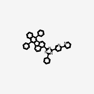 c1ccc(-c2nc(-c3ccc(-c4ccccn4)nc3)nc(-c3ccc4c5c(cccc35)-c3c-4c(-c4ccccc4)c4ccccc4c3-c3ccccc3)n2)cc1